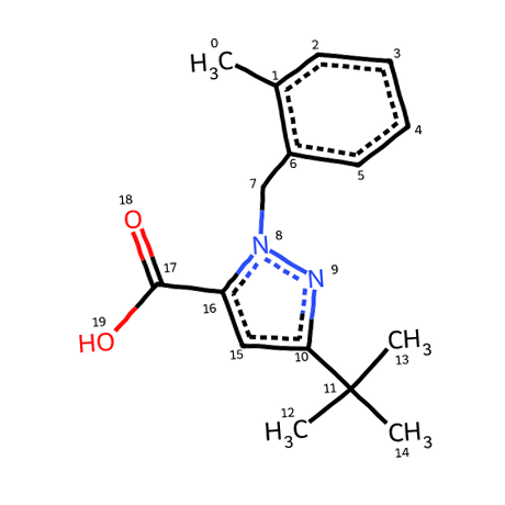 Cc1ccccc1Cn1nc(C(C)(C)C)cc1C(=O)O